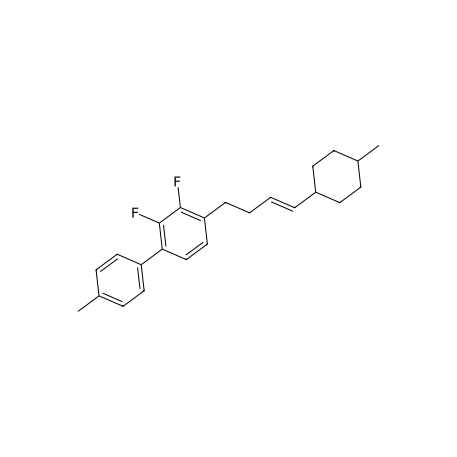 Cc1ccc(-c2ccc(CC/C=C/C3CCC(C)CC3)c(F)c2F)cc1